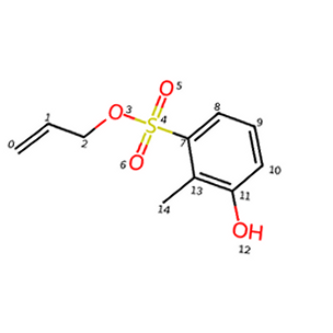 C=CCOS(=O)(=O)c1cccc(O)c1C